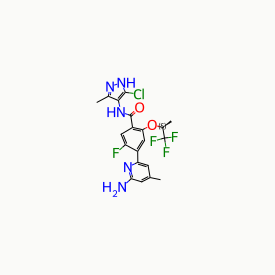 Cc1cc(N)nc(-c2cc(O[C@@H](C)C(F)(F)F)c(C(=O)Nc3c(C)n[nH]c3Cl)cc2F)c1